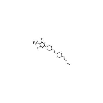 C=CCCC[C@H]1CC[C@H](CC[C@H]2CC[C@H](c3cc(F)c(C(F)(F)F)c(F)c3)CC2)CC1